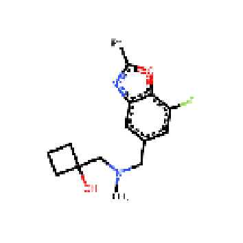 CC(C)c1nc2cc(CN(C)CC3(O)CCC3)cc(F)c2o1